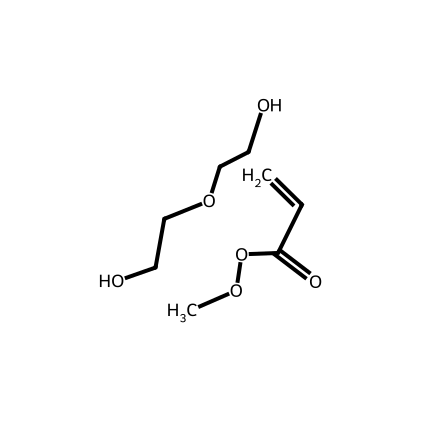 C=CC(=O)OOC.OCCOCCO